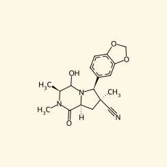 C[C@H]1C(O)N2[C@@H](c3ccc4c(c3)OCO4)[C@@](C)(C#N)C[C@H]2C(=O)N1C